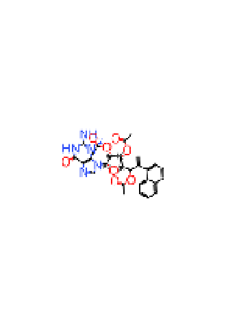 C=C(c1cccc2ccccc12)C(OC(C)=O)[C@H]1O[C@@H](n2cnc3c(=O)[nH]c(N)nc32)[C@H](OC(C)=O)[C@@H]1OC(C)=O